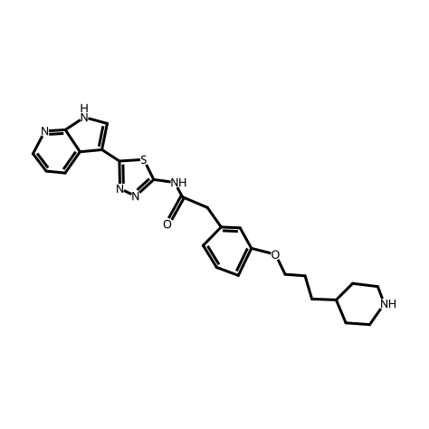 O=C(Cc1cccc(OCCCC2CCNCC2)c1)Nc1nnc(-c2c[nH]c3ncccc23)s1